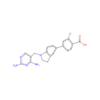 Nc1ncc(CN2CCc3cc(-c4ccc(C(=O)O)c(Cl)c4)ccc32)c(N)n1